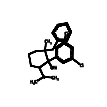 CN(C)C1CCCC(C)(Cc2ccccc2)C1(O)c1cc(Cl)cc(Cl)c1